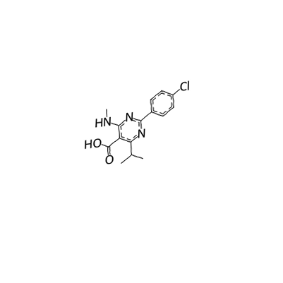 CNc1nc(-c2ccc(Cl)cc2)nc(C(C)C)c1C(=O)O